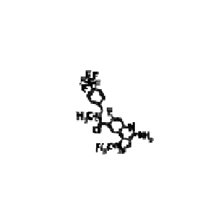 CN(Cc1ccc(S(F)(F)(F)(F)F)cc1)C(=O)c1cc2c(cc1F)nc(N)c1cnn(C)c12